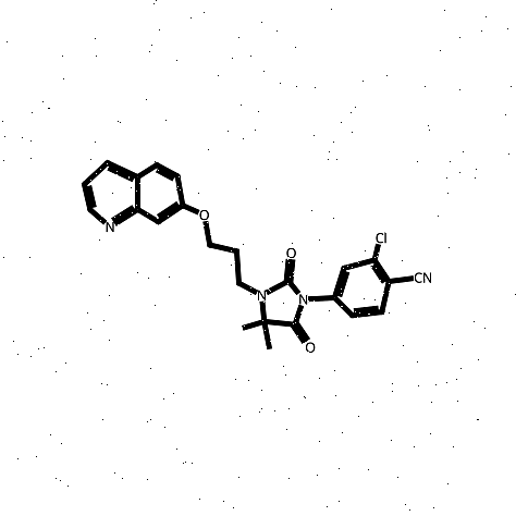 CC1(C)C(=O)N(c2ccc(C#N)c(Cl)c2)C(=O)N1CCCOc1ccc2cccnc2c1